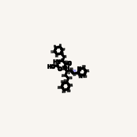 O=C(O)NC(Cc1ccccc1)C(=O)NC(/C=C/c1ncccn1)CCc1ccccc1